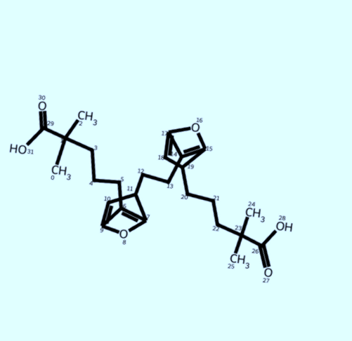 CC(C)(CCCC1=C2OC1=CC2CCC1=C2OC1=CC2CCCC(C)(C)C(=O)O)C(=O)O